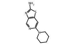 Nc1nc2cnc(N3CCCCC3)cc2s1